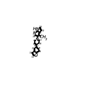 Cc1c(N2CC=C(c3ccc4occc4c3)CC2)cnc2[nH]ccc12